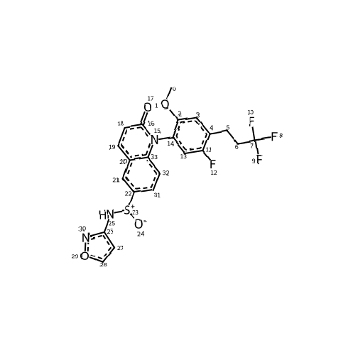 COc1cc(CCC(F)(F)F)c(F)cc1-n1c(=O)ccc2cc([S+]([O-])Nc3ccon3)ccc21